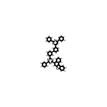 c1ccc(-c2cc(-c3cccc(-c4cccc(-c5nc(-c6ccccc6)nc(-c6cc7oc8ccccc8c7c7ccccc67)n5)c4)c3)nc(-c3ccccc3)n2)cc1